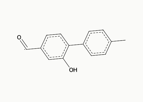 Cc1ccc(-c2ccc([C]=O)cc2O)cc1